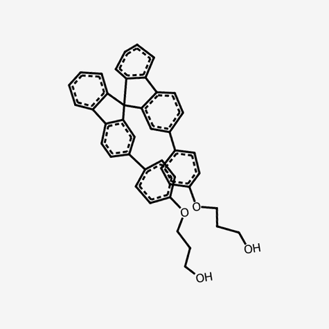 OCCCOc1ccc(-c2ccc3c(c2)C2(c4ccccc4-3)c3ccccc3-c3ccc(-c4ccc(OCCCO)cc4)cc32)cc1